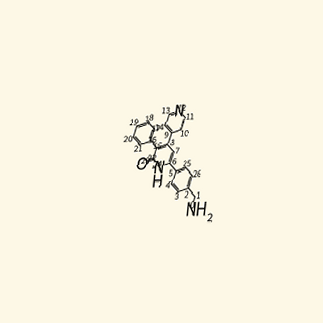 NCc1ccc(-c2cc(-c3ccncc3)c(-c3ccccc3)c(=O)[nH]2)cc1